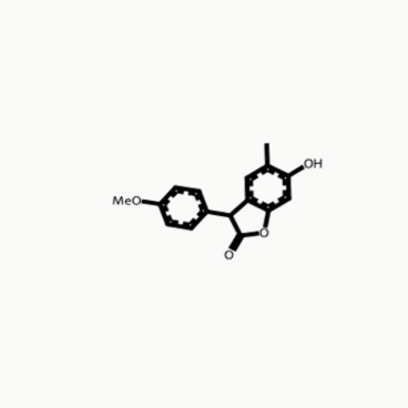 COc1ccc(C2C(=O)Oc3cc(O)c(C)cc32)cc1